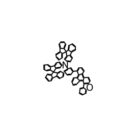 c1cc(-c2cccc3c4ccc5oc6ccccc6c5c4c4ccccc4c23)cc(N(c2ccc3c(c2)C2(c4ccccc4-c4ccccc42)c2ccccc2-3)c2ccc3c(c2)C2(c4ccccc4-c4ccccc42)c2ccccc2-3)c1